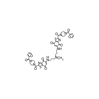 CN(CCCNC1=CC(=O)c2sc(C(=O)N3CCN(C(=O)c4ccco4)CC3)nc2C1=O)CCCNC1=CC(=O)c2sc(C(=O)N3CCN(C(=O)c4ccco4)CC3)nc2C1=O